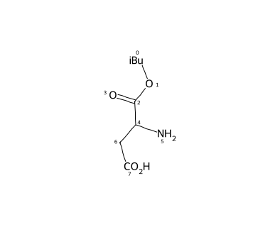 CCC(C)OC(=O)C(N)CC(=O)O